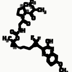 COc1ccc2nc(C3C(CCC[C@@H]4CC4(C)OC(=O)NCC(=O)N4CC[C@@H](C)[C@H]4C(=O)C(C)C)C3(F)F)c(O)nc2c1